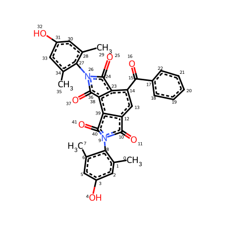 Cc1cc(O)cc(C)c1-n1c(=O)c2cc(C(=O)c3ccccc3)c3c(=O)n(-c4c(C)cc(O)cc4C)c(=O)c3c2c1=O